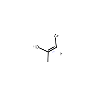 CC(=O)/C=C(/C)O.[Ir]